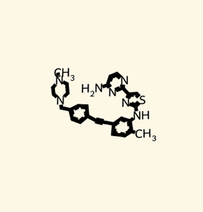 Cc1ccc(C#Cc2ccc(CN3CCN(C)CC3)cc2)cc1Nc1nc(-c2nccc(N)n2)cs1